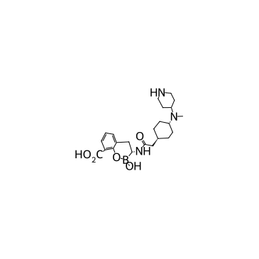 CN(C1CCNCC1)[C@H]1CC[C@H](CC(=O)N[C@H]2Cc3cccc(C(=O)O)c3OB2O)CC1